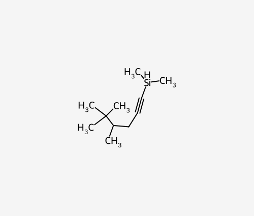 CC(CC#C[SiH](C)C)C(C)(C)C